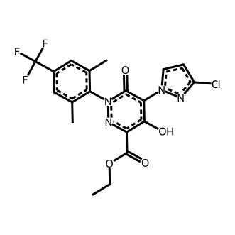 CCOC(=O)c1nn(-c2c(C)cc(C(F)(F)F)cc2C)c(=O)c(-n2ccc(Cl)n2)c1O